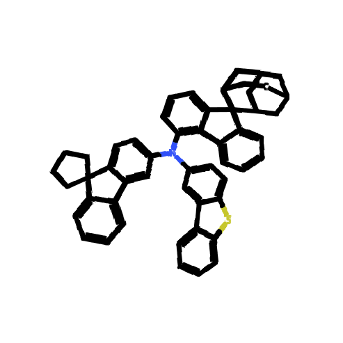 c1ccc2c(c1)-c1cc(N(c3ccc4sc5ccccc5c4c3)c3cccc4c3-c3ccccc3C43C4CCC5CC(C4)CC3C5)ccc1C21CCCC1